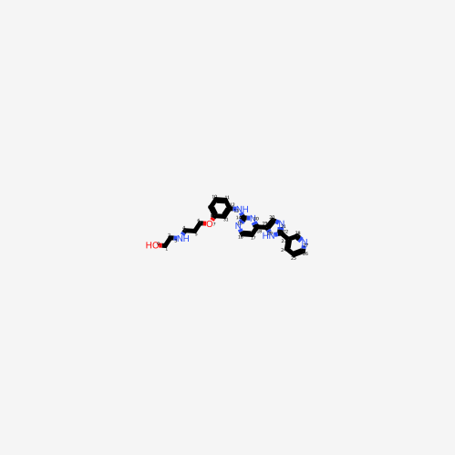 OCCNCCCOc1cccc(Nc2nccc(-c3cnc(-c4cccnc4)[nH]3)n2)c1